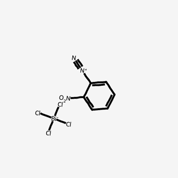 N#[N+]c1ccccc1[N+](=O)[O-].[Cl][Bi-]([Cl])([Cl])[Cl]